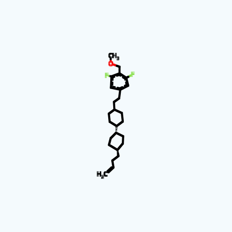 C=CCC[C@H]1CC[C@H](C2CCC(CCc3cc(F)c(COC)c(F)c3)CC2)CC1